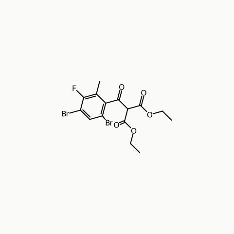 CCOC(=O)C(C(=O)OCC)C(=O)c1c(Br)cc(Br)c(F)c1C